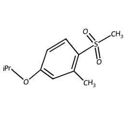 Cc1cc(OC(C)C)ccc1S(C)(=O)=O